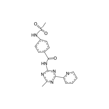 Cc1nc(NC(=O)c2ccc(NS(C)(=O)=O)cc2)nc(-c2ccccn2)n1